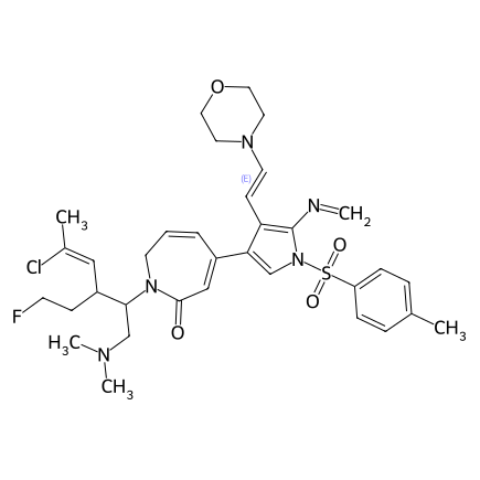 C=Nc1c(/C=C/N2CCOCC2)c(C2=CC(=O)N(C(CN(C)C)C(C=C(C)Cl)CCF)CC=C2)cn1S(=O)(=O)c1ccc(C)cc1